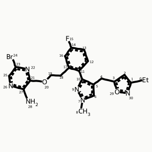 CCc1cc(Cc2cn(C)nc2-c2ccc(F)cc2CCOc2nc(Br)cnc2N)on1